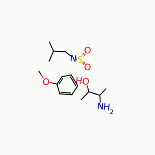 CC(C)CN=S(=O)=O.CC(N)C(C)O.COc1ccccc1